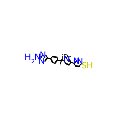 CC(C)C(C)(c1ccc(-c2cnc(N)nc2)cc1)c1ccc(-c2ccc(S)nn2)cn1